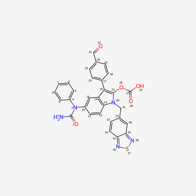 NC(=O)N(c1ccccc1)c1ccc2c(c1)c(-c1ccc(C=O)cc1)c(OC(=O)O)n2Cc1ccc2nsnc2c1